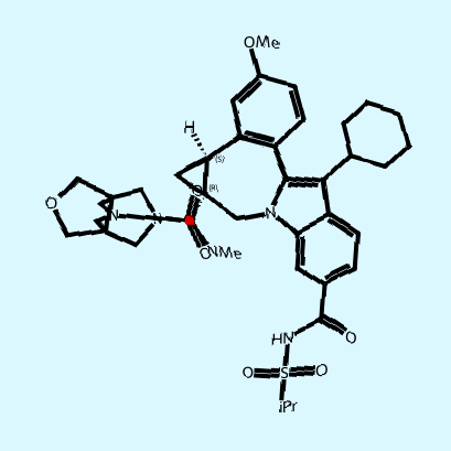 CNC(=O)N1CC23COCC2(C1)CN(C(=O)[C@]12C[C@H]1c1cc(OC)ccc1-c1c(C4CCCCC4)c4ccc(C(=O)NS(=O)(=O)C(C)C)cc4n1C2)C3